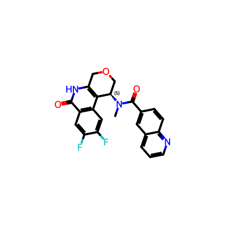 CN(C(=O)c1ccc2ncccc2c1)[C@@H]1COCc2[nH]c(=O)c3cc(F)c(F)cc3c21